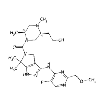 COCc1ncc(F)c(Nc2n[nH]c3c2CN(C(=O)N2C[C@H](CCO)N(C)C[C@@H]2C)C3(C)C)n1